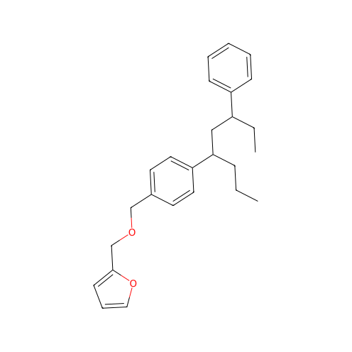 CCCC(CC(CC)c1ccccc1)c1ccc(COCc2ccco2)cc1